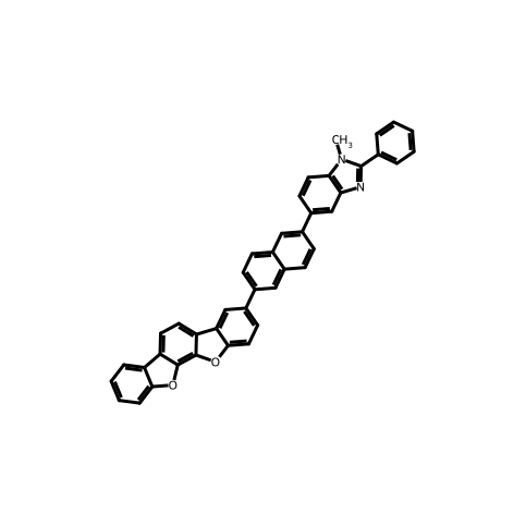 Cn1c(-c2ccccc2)nc2cc(-c3ccc4cc(-c5ccc6oc7c(ccc8c9ccccc9oc87)c6c5)ccc4c3)ccc21